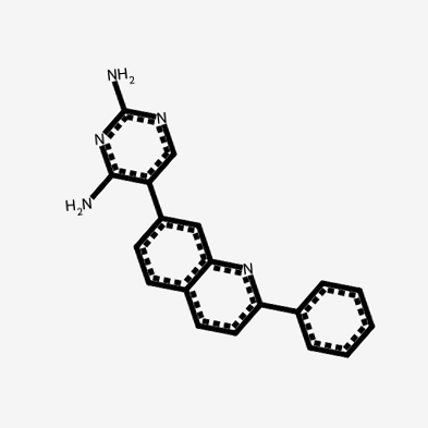 Nc1ncc(-c2ccc3ccc(-c4ccccc4)nc3c2)c(N)n1